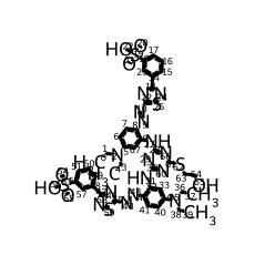 CCN(CC)c1ccc(/N=N/c2nc(-c3cccc(S(=O)(=O)O)c3)ns2)c(Nc2nc(Nc3cc(N(CC)CC)ccc3/N=N/c3nc(-c4cccc(S(=O)(=O)O)c4)ns3)nc(SCCO)n2)c1